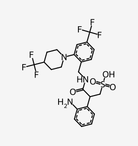 Nc1ccccc1C(CS(=O)(=O)O)C(=O)NCc1ccc(C(F)(F)F)cc1N1CCC(C(F)(F)F)CC1